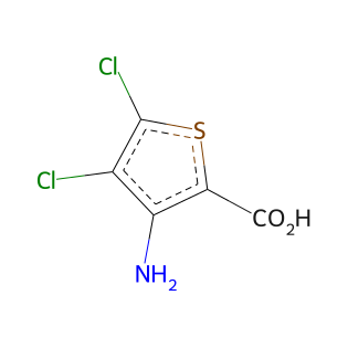 Nc1c(C(=O)O)sc(Cl)c1Cl